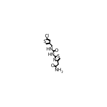 NC(=O)Cc1csc(NC(=O)NCc2csc(Cl)c2)n1